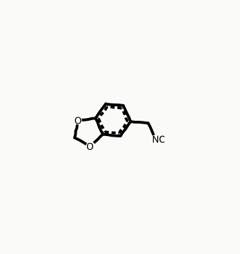 [C-]#[N+]Cc1ccc2c(c1)OCO2